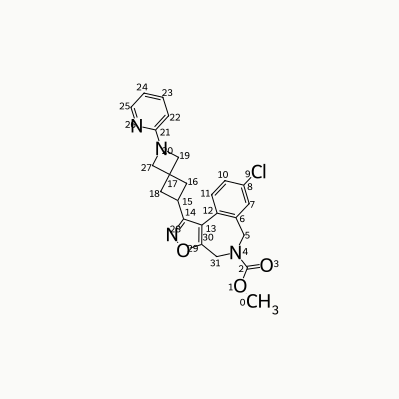 COC(=O)N1Cc2cc(Cl)ccc2-c2c(C3CC4(C3)CN(c3ccccn3)C4)noc2C1